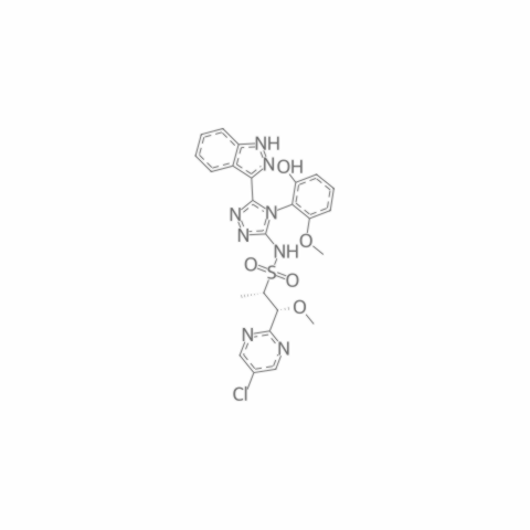 COc1cccc(O)c1-n1c(NS(=O)(=O)[C@@H](C)[C@H](OC)c2ncc(Cl)cn2)nnc1-c1n[nH]c2ccccc12